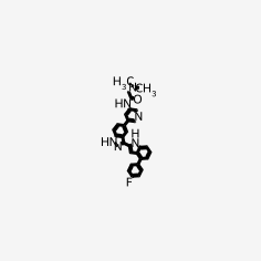 CN(C)CC(=O)Nc1cncc(-c2ccc3[nH]nc(-c4cc5c(-c6ccc(F)cc6)cccc5[nH]4)c3c2)c1